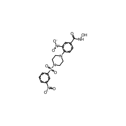 O=C(NO)c1ccc(N2CCN(S(=O)(=O)c3cccc([N+](=O)[O-])c3)CC2)c([N+](=O)[O-])c1